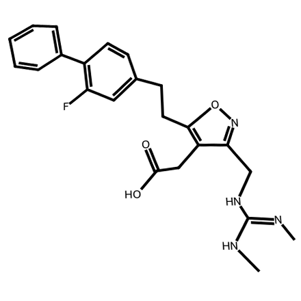 CN=C(NC)NCc1noc(CCc2ccc(-c3ccccc3)c(F)c2)c1CC(=O)O